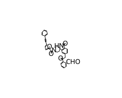 O=Cc1ccccc1C(=O)Cc1ccc2c(c1)C1(CCN(C(=O)c3ccc(C#Cc4ccccc4)o3)CC1)NC2=O